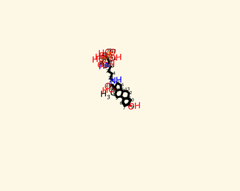 C[C@]12CCC3c4ccc(O)cc4CCC3C1CC[C@]2(O)C(=O)NCCCCNCC(O)(P(=O)(O)O)P(=O)(O)O